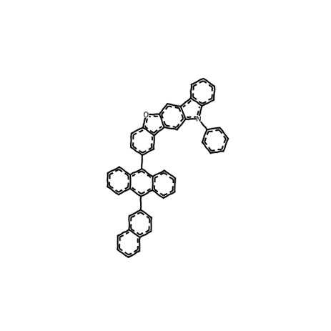 c1ccc(-n2c3ccccc3c3cc4oc5ccc(-c6c7ccccc7c(-c7ccc8ccccc8c7)c7ccccc67)cc5c4cc32)cc1